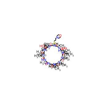 C/C=C/C[C@@H](C)[C@@H](O)[C@H]1C(=O)N[C@@H](CC)C(=O)N(C)[C@H](CSCCCN2CCOCC2)C(=O)N(C)[C@@H](CC(C)(C)O)C(=O)N[C@@H](C(C)C)C(=O)N(C)[C@@H](CC(C)C)C(=O)N[C@@H](C)C(=O)N[C@H](C)C(=O)N(C)[C@@H](CC(C)C)C(=O)N(C)[C@@H](CC(C)C)C(=O)N(C)[C@@H](C(C)C)C(=O)N1C